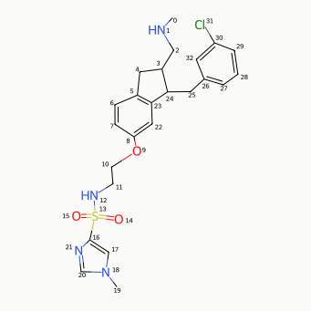 CNCC1Cc2ccc(OCCNS(=O)(=O)c3cn(C)cn3)cc2C1Cc1cccc(Cl)c1